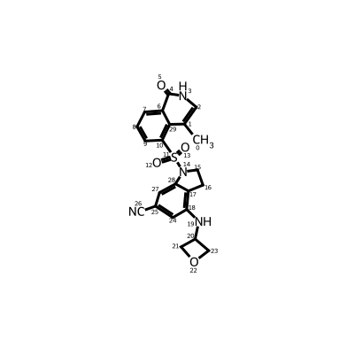 Cc1c[nH]c(=O)c2cccc(S(=O)(=O)N3CCc4c(NC5COC5)cc(C#N)cc43)c12